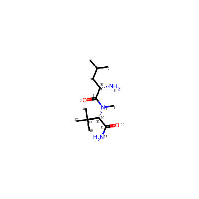 CC(C)C[C@H](N)C(=O)N(C)[C@H](C(N)=O)C(C)(C)C